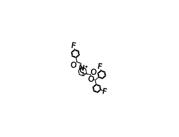 O=C(C[N+]12CCC(CC1)C(C(=O)OC(c1cccc(F)c1)c1cccc(F)c1)C2)c1ccc(F)cc1